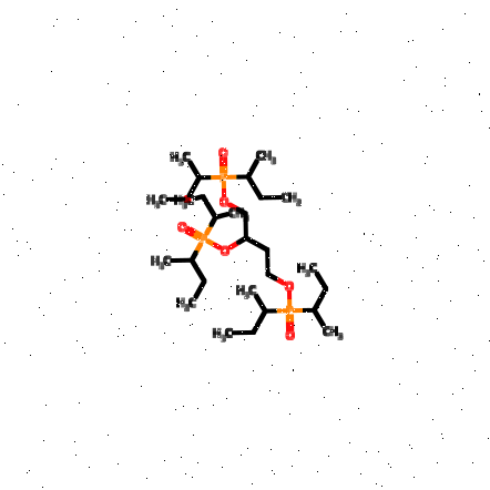 CCC(C)P(=O)(OCCC(COP(=O)(C(C)CC)C(C)CC)OP(=O)(C(C)CC)C(C)CC)C(C)CC